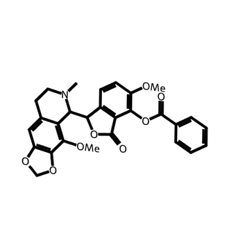 COc1ccc2c(c1OC(=O)c1ccccc1)C(=O)OC2C1c2c(cc3c(c2OC)OCO3)CCN1C